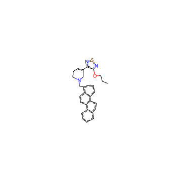 CCCOc1nsnc1C1=CCCN(Cc2cccc3c2ccc2c4ccccc4ccc32)C1